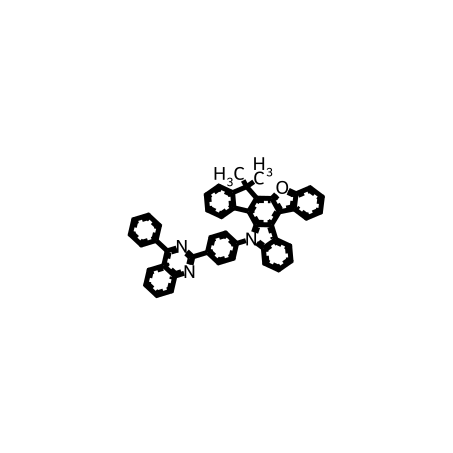 CC1(C)c2ccccc2-c2c1c1oc3ccccc3c1c1c3ccccc3n(-c3ccc(-c4nc(-c5ccccc5)c5ccccc5n4)cc3)c21